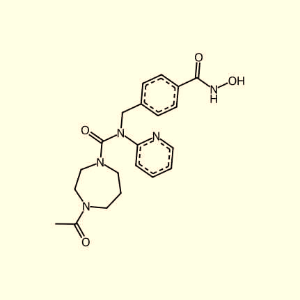 CC(=O)N1CCCN(C(=O)N(Cc2ccc(C(=O)NO)cc2)c2ccccn2)CC1